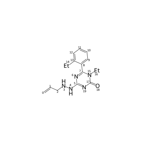 C=CCNNc1nc(-c2ccccc2CC)n(CC)c(=O)n1